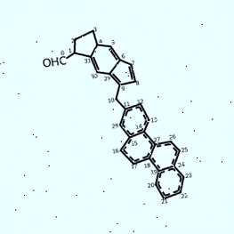 O=CC1CCC2C=C3C=CC(Cc4ccc5c(ccc6c7ccccc7ccc56)c4)=C3C=C12